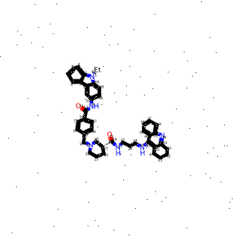 CCn1c2ccccc2c2cc(NC(=O)c3ccc(CN4CCC[C@@H](C(=O)NCCCNc5c6c(nc7ccccc57)CCCC6)C4)cc3)ccc21